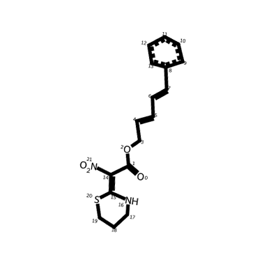 O=C(OC/C=C/C=C/c1ccccc1)/C(=C1\NCCCS1)[N+](=O)[O-]